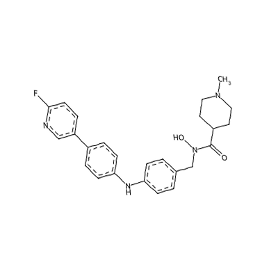 CN1CCC(C(=O)N(O)Cc2ccc(Nc3ccc(-c4ccc(F)nc4)cc3)cc2)CC1